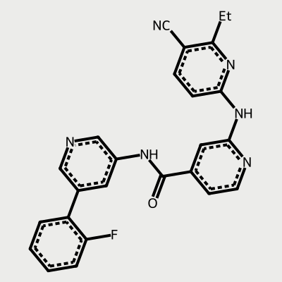 CCc1nc(Nc2cc(C(=O)Nc3cncc(-c4ccccc4F)c3)ccn2)ccc1C#N